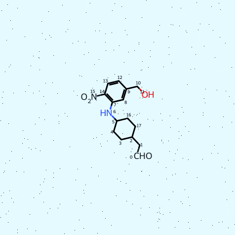 O=CCC1CCC(Nc2cc(CO)ccc2[N+](=O)[O-])CC1